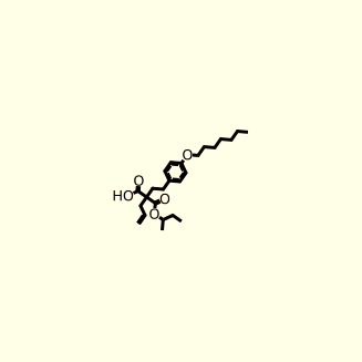 C=CCC(CCc1ccc(OCCCCCCC)cc1)(C(=O)O)C(=O)OC(C)CC